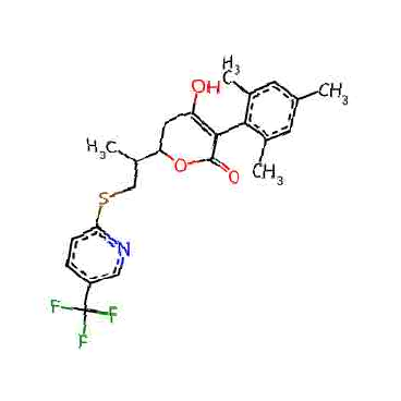 Cc1cc(C)c(C2=C(O)CC(C(C)CSc3ccc(C(F)(F)F)cn3)OC2=O)c(C)c1